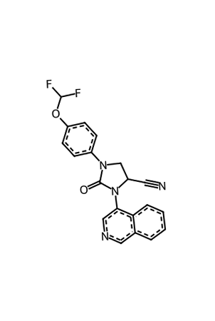 N#CC1CN(c2ccc(OC(F)F)cc2)C(=O)N1c1cncc2ccccc12